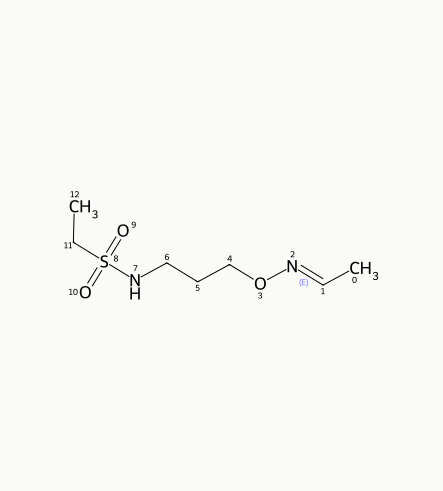 C/C=N/OCCCNS(=O)(=O)CC